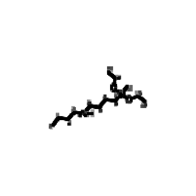 CCCCNCCCC[Si](C)(OCC)OCC